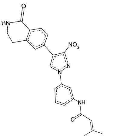 CC(C)=CC(=O)Nc1cccc(-n2cc(-c3ccc4c(c3)CCNC4=O)c([N+](=O)[O-])n2)c1